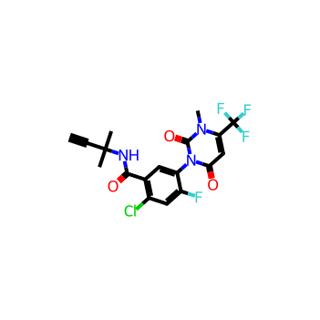 C#CC(C)(C)NC(=O)c1cc(-n2c(=O)cc(C(F)(F)F)n(C)c2=O)c(F)cc1Cl